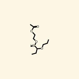 CCCOC(CC)[SiH](C)OCCOC(C)=O